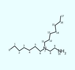 CCCCCCCN(CCN)CCCCCCC